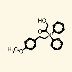 COc1ccc(CC[N+](C(=O)CO)(c2ccccc2)c2ccccc2)cc1